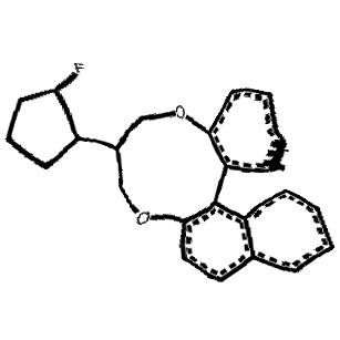 FC1CCCC1C1COc2ccc3ccccc3c2-c2c(ccc3ccccc23)OC1